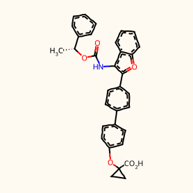 C[C@@H](OC(=O)Nc1c(-c2ccc(-c3ccc(OC4(C(=O)O)CC4)cc3)cc2)oc2ccccc12)c1ccccc1